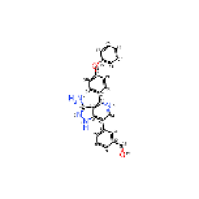 Nc1n[nH]c2c(-c3cccc(C=O)c3)cnc(-c3ccc(Oc4ccccc4)cc3)c12